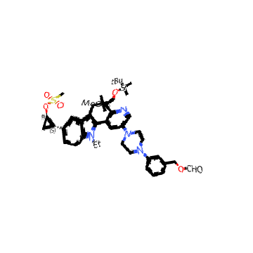 CCn1c(-c2cc(N3CCN(c4cccc(COC=O)c4)CC3)cnc2[C@H](C)OC)c(CC(C)(C)CO[Si](C)(C)C(C)(C)C)c2cc([C@@H]3C[C@H]3OS(C)(=O)=O)ccc21